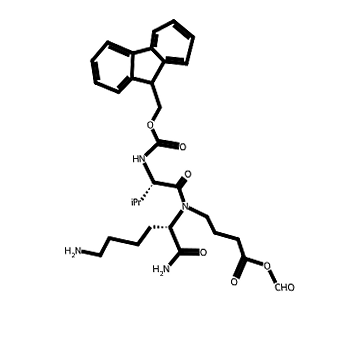 CC(C)[C@H](NC(=O)OCC1c2ccccc2-c2ccccc21)C(=O)N(CCCC(=O)OC=O)[C@@H](CCCCN)C(N)=O